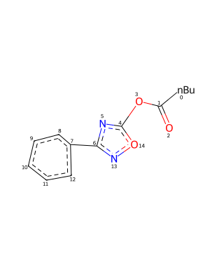 CCCCC(=O)Oc1nc(-c2ccccc2)no1